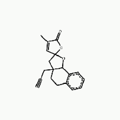 C#CCC12CCc3ccccc3C1OC1(C=C(C)C(=O)O1)C2